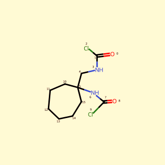 O=C(Cl)NCC1(NC(=O)Cl)CCCCCC1